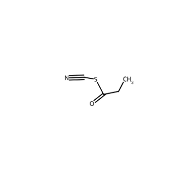 CCC(=O)SC#N